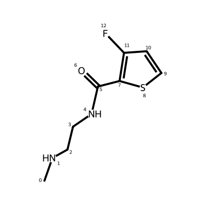 CNCCNC(=O)c1sccc1F